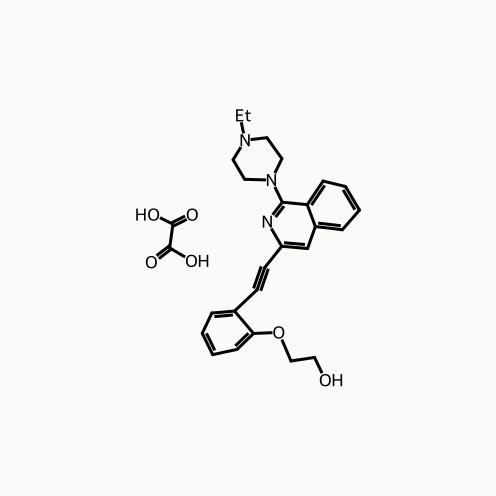 CCN1CCN(c2nc(C#Cc3ccccc3OCCO)cc3ccccc23)CC1.O=C(O)C(=O)O